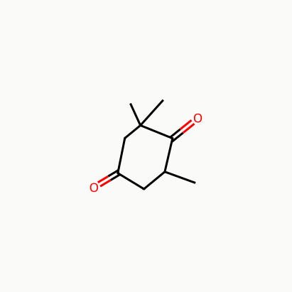 CC1CC(=O)CC(C)(C)C1=O